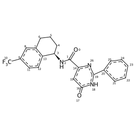 O=C(N[C@@H]1CCCc2cc(C(F)(F)F)ccc21)c1cc(=O)[nH]c(-c2ccccc2)n1